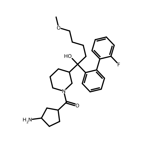 COCCCCC(O)(c1ccccc1-c1ccccc1F)C1CCCN(C(=O)C2CCC(N)C2)C1